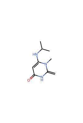 C=C1NC(=O)C=C(NC(C)C)N1C